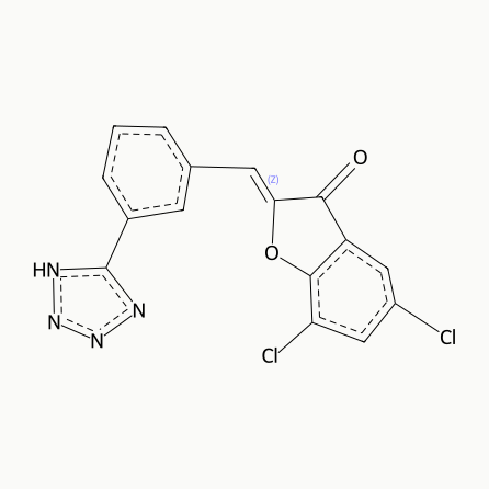 O=C1/C(=C/c2cccc(-c3nnn[nH]3)c2)Oc2c(Cl)cc(Cl)cc21